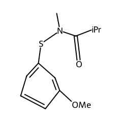 COc1cccc(SN(C)C(=O)C(C)C)c1